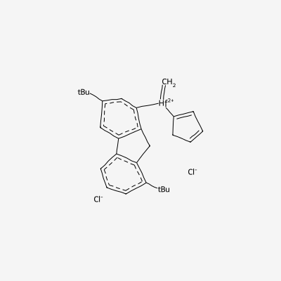 [CH2]=[Hf+2]([C]1=CC=CC1)[c]1cc(C(C)(C)C)cc2c1Cc1c-2cccc1C(C)(C)C.[Cl-].[Cl-]